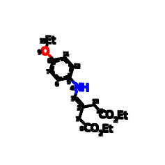 CCOC(=O)CC(=CNc1ccc(OCC)cc1)CC(=O)OCC